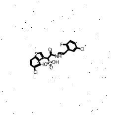 O=C(NC=Cc1cc(Cl)ccc1F)C(c1csc2ccc(Cl)cc12)P(=O)(O)O